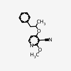 COc1nccc(OC(C)Cc2ccccc2)c1C#N